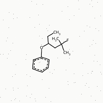 CCC(CC(C)(C)F)Oc1ccccc1